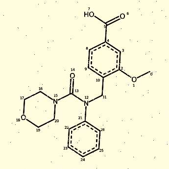 COc1cc(C(=O)O)ccc1CN(C(=O)N1CCOCC1)c1ccccc1